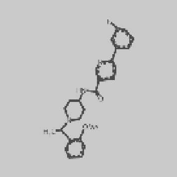 COc1ccccc1C(C)N1CCC(NC(=O)c2ccc(-c3cccc(F)c3)nc2)CC1